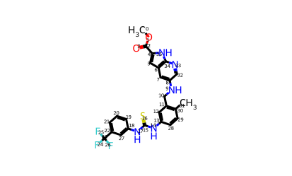 COC(=O)c1cc2cc(NCc3cc(NC(=S)Nc4cccc(C(F)(F)F)c4)ccc3C)cnc2[nH]1